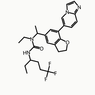 CCC(CCC(F)(F)F)NC(=O)N(CC)C(C)c1cc2c(c(-c3ccc4nccn4c3)c1)OCC2